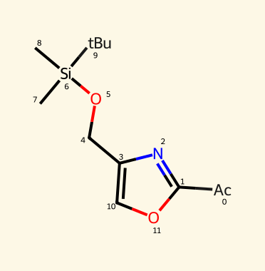 CC(=O)c1nc(CO[Si](C)(C)C(C)(C)C)co1